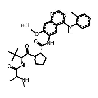 CN[C@@H](C)C(=O)N[C@H](C(=O)N1CCC[C@H]1C(=O)Nc1cc2c(Nc3ccccc3C)ncnc2cc1OC)C(C)(C)C.Cl